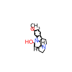 COc1ccc2c3c4n(c2c1)C(O)=C[C@H]1CCCN(CC3)[C@@H]41